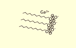 CCCCCCCCCCCCOS(=O)(=O)[O-].CCCCCCCCCCCCOS(=O)(=O)[O-].CCCCCCCCCCCCOS(=O)(=O)[O-].[Ga+3]